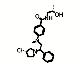 C[C@H](O)CNC(=O)c1ccc(N(C)C[C@@H](c2ccccc2)N2CC[C@H](Cl)C2)cc1